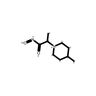 CC1CCN(C(C)C(=O)N=O)CC1